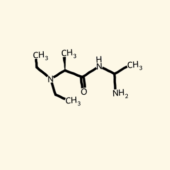 CCN(CC)[C@@H](C)C(=O)NC(C)N